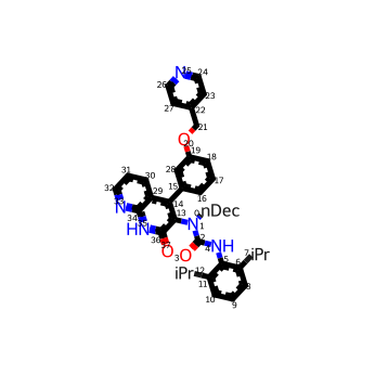 CCCCCCCCCCN(C(=O)Nc1c(C(C)C)cccc1C(C)C)c1c(-c2cccc(OCc3ccncc3)c2)c2cccnc2[nH]c1=O